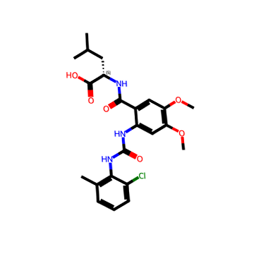 COc1cc(NC(=O)Nc2c(C)cccc2Cl)c(C(=O)N[C@@H](CC(C)C)C(=O)O)cc1OC